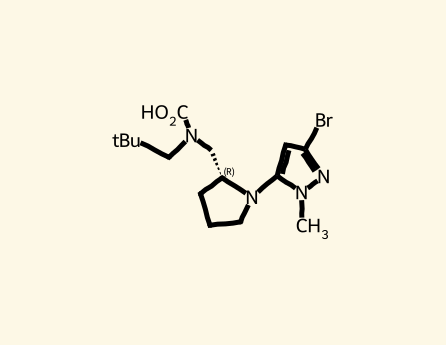 Cn1nc(Br)cc1N1CCC[C@@H]1CN(CC(C)(C)C)C(=O)O